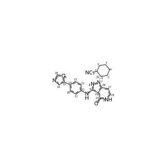 N#CC1CCCC[C@@H]1n1nc(Nc2ccc(-c3cnco3)cc2)c2c(=O)[nH]ccc21